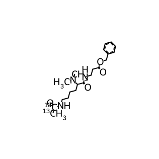 CN(C)C(CCCCN[13C]([13CH3])=O)C(=O)NCCC(=O)OCc1ccccc1